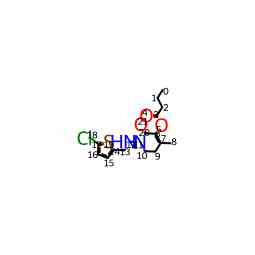 CCCC(=O)OC1=C(C)CCN(NCc2ccc(Cl)s2)C1=O